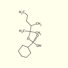 CCCC(C)C(C)(C)OP(=O)(O)C1CCCCC1